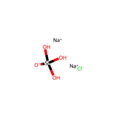 [Cl-].[Na+].[Na+].[O-][Si](O)(O)O